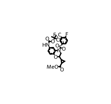 COC(=O)C1CC1C1CN(S(=O)(=O)c2ccc(F)c(C(F)(F)F)c2)c2cc(NC(=O)OC(C)(C)C(F)(F)F)ccc2O1